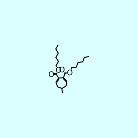 CCCCCCOC(=O)C1=CCC(C)CC=C1C(=O)OCCCCCC